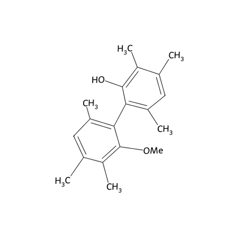 COc1c(C)c(C)cc(C)c1-c1c(C)cc(C)c(C)c1O